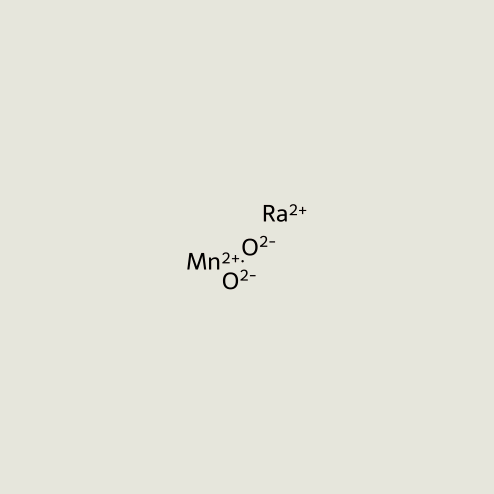 [Mn+2].[O-2].[O-2].[Ra+2]